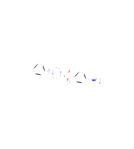 N#Cc1ccc(S(=O)(=O)N2CCN(c3ccccc3)CC2)cc1